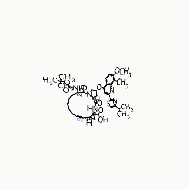 COc1ccc2c(OC3C[C@H]4C(=O)N[C@]5(C(=O)O)C[C@H]5/C=C\CCCCC[C@H](NC(=O)OC(C)(C)C)C(=O)N4C3)cc(-c3nc(C(C)C)cs3)nc2c1C